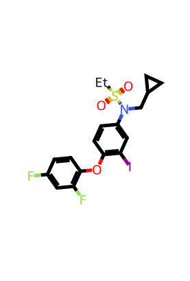 CCS(=O)(=O)N(CC1CC1)c1ccc(Oc2ccc(F)cc2F)c(I)c1